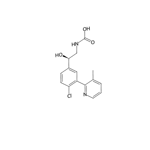 Cc1cccnc1-c1cc([C@@H](O)CNC(=O)O)ccc1Cl